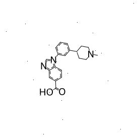 CN1CCC(c2cccc(-n3cnc4cc(C(=O)O)ccc43)c2)CC1